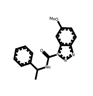 COc1ccc2nnn(C(=O)NC(C)c3ccccc3)c2c1